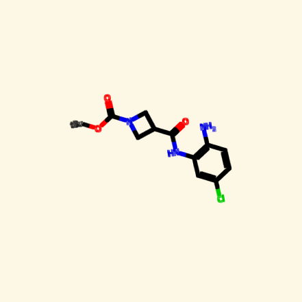 CC(C)(C)OC(=O)N1CC(C(=O)Nc2cc(Cl)ccc2N)C1